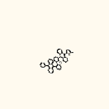 Cc1ccc(-c2c3ccccc3c(-c3cccc4c3oc3cccc(-c5c6ccccc6c(-c6ccccc6)c6ccccc56)c34)c3ccccc23)s1